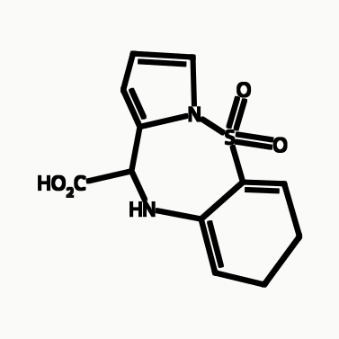 O=C(O)C1NC2=CCCC=C2S(=O)(=O)n2cccc21